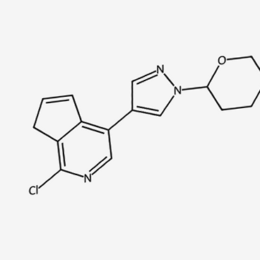 Clc1ncc(-c2cnn(C3CCCCO3)c2)c2c1CC=C2